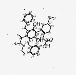 CCCC(C)C(C)c1c(Cc2ccccc2)c(O)c(C2=C(CC(=O)O)CCC(CC)C2)c(O)c1Cc1ccccc1